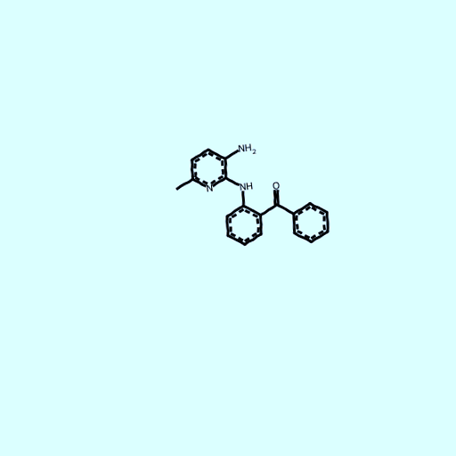 Cc1ccc(N)c(Nc2ccccc2C(=O)c2ccccc2)n1